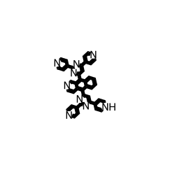 C1=CC(c2cc(-c3c4ccccc4c(-c4cc(-c5ccncc5)nc(-c5ccncc5)n4)c4cnccc34)nc(-c3ccncc3)n2)=CCN1